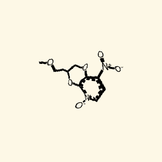 COCC1COc2c([N+](=O)[O-])cc[n+]([O-])c2O1